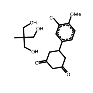 CC(CO)(CO)CO.COc1ccc(C2CC(=O)CC(=O)C2)cc1Cl